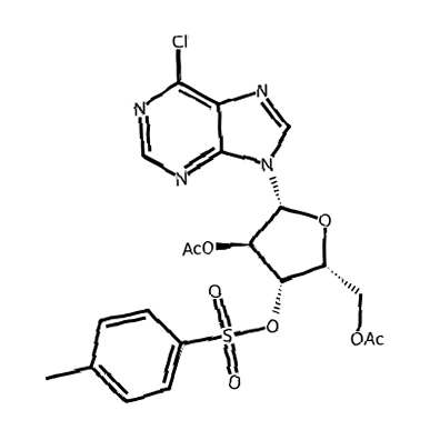 CC(=O)OC[C@H]1O[C@@H](n2cnc3c(Cl)ncnc32)[C@H](OC(C)=O)[C@H]1OS(=O)(=O)c1ccc(C)cc1